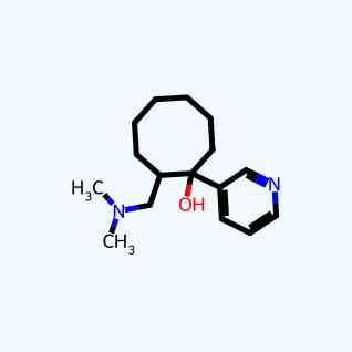 CN(C)CC1CCCCCCC1(O)c1cccnc1